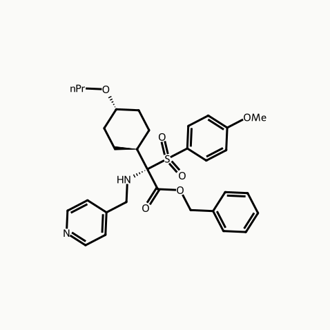 CCCO[C@H]1CC[C@H]([C@](NCc2ccncc2)(C(=O)OCc2ccccc2)S(=O)(=O)c2ccc(OC)cc2)CC1